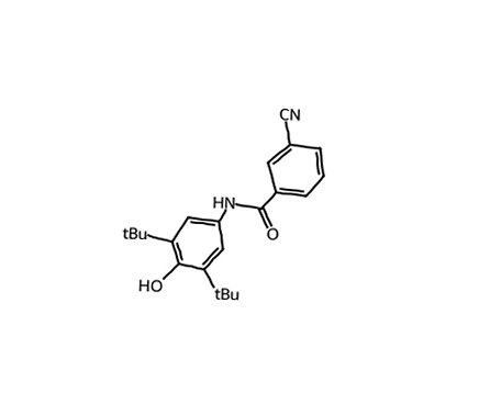 CC(C)(C)c1cc(NC(=O)c2cccc(C#N)c2)cc(C(C)(C)C)c1O